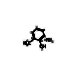 Cc1ccccc1O.P